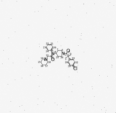 CC(C)(C(=O)N1CCC(N(C(=O)CN2CCCCC2)c2ccccc2)CC1)c1ccc(Cl)cc1